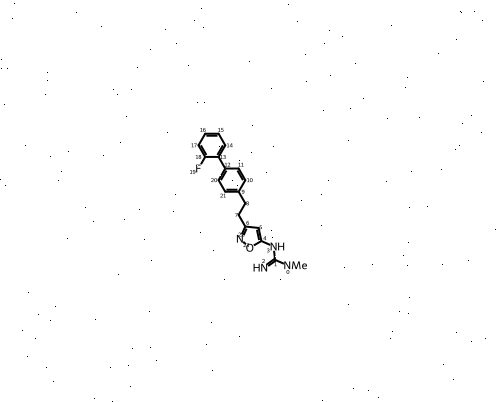 CNC(=N)Nc1cc(CCc2ccc(-c3ccccc3F)cc2)no1